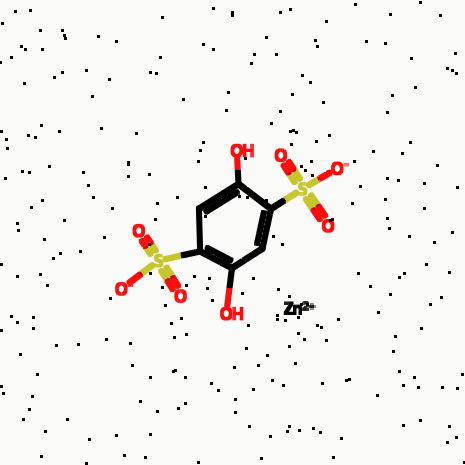 O=S(=O)([O-])c1cc(O)c(S(=O)(=O)[O-])cc1O.[Zn+2]